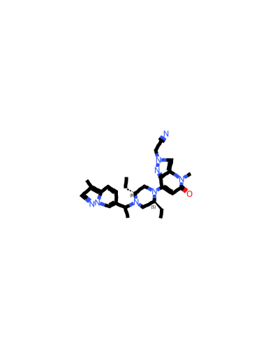 CC[C@H]1CN(C(C)c2ccc3c(C)cnn3c2)[C@H](CC)CN1c1cc(=O)n(C)c2cn(CC#N)nc12